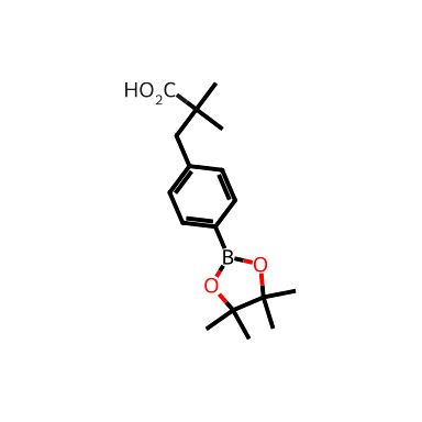 CC(C)(Cc1ccc(B2OC(C)(C)C(C)(C)O2)cc1)C(=O)O